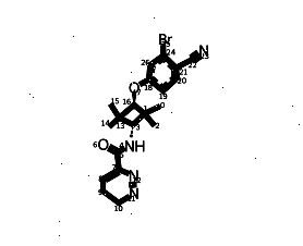 CC1(C)[C@H](NC(=O)C2=CCCN=N2)C(C)(C)[C@H]1Oc1ccc(C#N)c(Br)c1